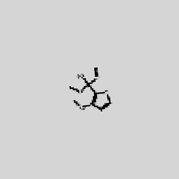 COc1ccoc1C(O)(OC)OC